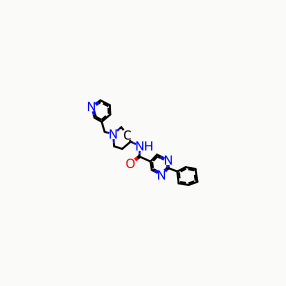 O=C(NC1CCN(Cc2cccnc2)CC1)c1cnc(-c2ccccc2)nc1